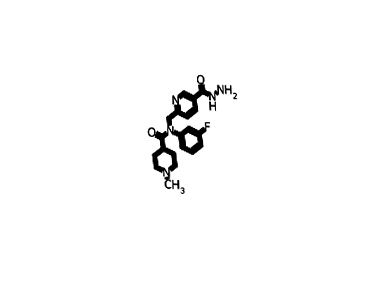 CN1CCC(C(=O)N(Cc2ccc(C(=O)NN)cn2)c2cccc(F)c2)CC1